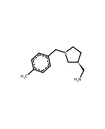 Cc1ccc(CN2CC[C@@H](CN)C2)cc1